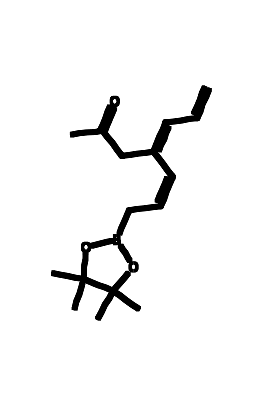 C=C/C=C(\C=C/CB1OC(C)(C)C(C)(C)O1)CC(C)=O